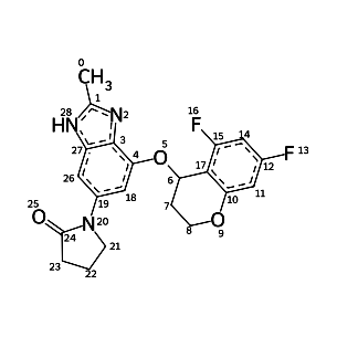 Cc1nc2c(OC3CCOc4cc(F)cc(F)c43)cc(N3CCCC3=O)cc2[nH]1